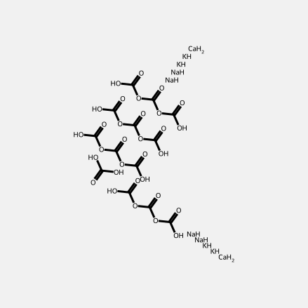 O=C(O)O.O=C(O)OC(=O)OC(=O)O.O=C(O)OC(=O)OC(=O)O.O=C(O)OC(=O)OC(=O)O.O=C(O)OC(=O)OC(=O)O.[CaH2].[CaH2].[KH].[KH].[KH].[KH].[NaH].[NaH].[NaH].[NaH]